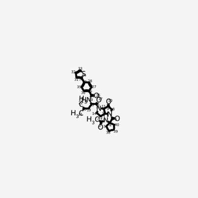 CC(=O)NC1(C(=O)N2CC(=O)C3C2CCN3C(=O)C(CC(C)C)NC(=O)c2ccc(-c3cccs3)cc2)CCCC1